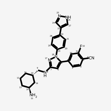 N#Cc1ccc(-c2cc(NC[C@H]3CCC[C@H](N)C3)nn2-c2ccc(-c3cn[nH]c3)cc2)cc1F